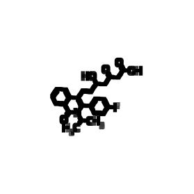 CC(C)n1c(-c2ccc(F)cc2)c(C=CC(O)CC(=O)CC(=O)O)c2ccccc2c1=O